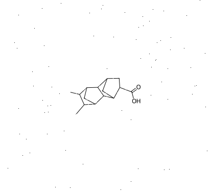 CC1C(C)C2CC1C1C3CC(C(=O)O)C(C3)C21